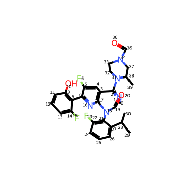 C/N=C(\c1cc(F)c(-c2c(O)cccc2F)nc1N(C=O)c1c(F)cccc1C(C)C)N1CCN(C=O)CC1C